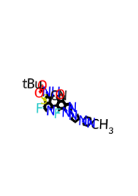 CN1CCN([C@@H]2CCN(c3ncc4c5c(c(-c6ncc(F)c7sc(NC(=O)OC(C)(C)C)c(C#N)c67)c(F)c4n3)COC5)C2)CC1